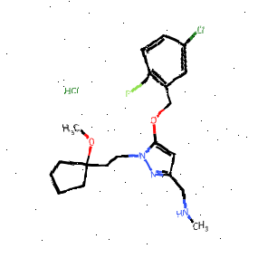 CNCc1cc(OCc2cc(Cl)ccc2F)n(CCC2(OC)CCCC2)n1.Cl